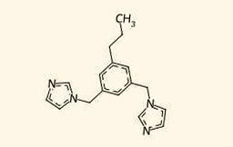 CCCc1cc(Cn2ccnc2)cc(Cn2ccnc2)c1